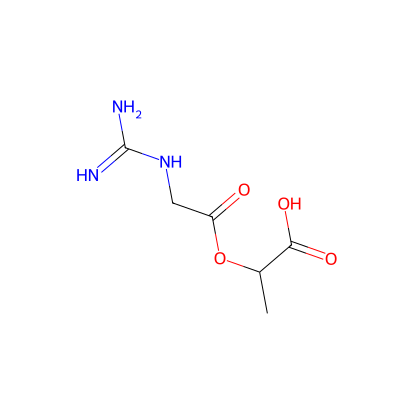 CC(OC(=O)CNC(=N)N)C(=O)O